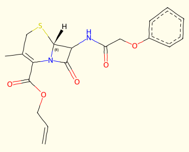 C=CCOC(=O)C1=C(C)CS[C@@H]2C(NC(=O)COc3ccccc3)C(=O)N12